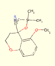 COc1cccc2c1C(C#N)(O[Si](C)(C)C)CCO2